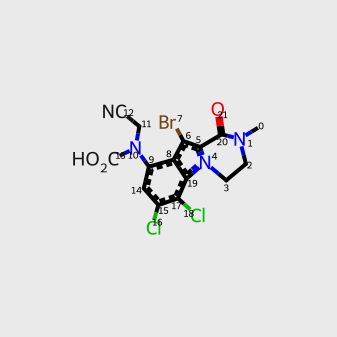 CN1CCn2c(c(Br)c3c(N(CC#N)C(=O)O)cc(Cl)c(Cl)c32)C1=O